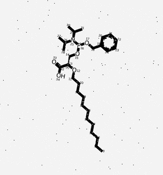 CCCCCCCCCCCCO[C@H](COP(OCc1ccccc1)N(C(C)C)C(C)C)C(=O)O